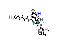 CCCCCCCCCC(C)(c1ccc(=O)[nH]n1)C(F)(F)CCC(C)CC